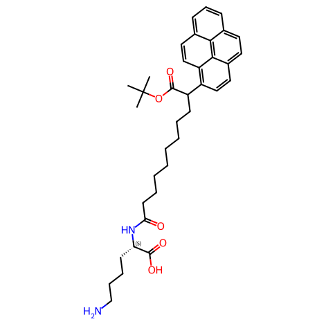 CC(C)(C)OC(=O)C(CCCCCCCCC(=O)N[C@@H](CCCCN)C(=O)O)c1ccc2ccc3cccc4ccc1c2c34